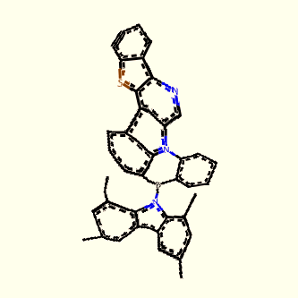 Cc1cc(C)c2c(c1)c1cc(C)cc(C)c1n2B1c2ccccc2-n2c3cnc4c5ccc#cc5sc4c3c3cccc1c32